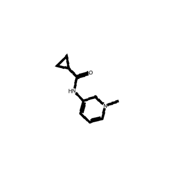 CN1C=CC=C(NC(=O)C2CC2)C1